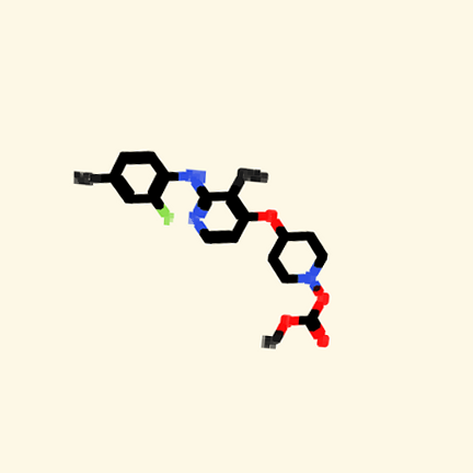 COc1c(OC2CCN(OC(=O)OC(C)C)CC2)ccnc1Nc1ccc(C#N)cc1F